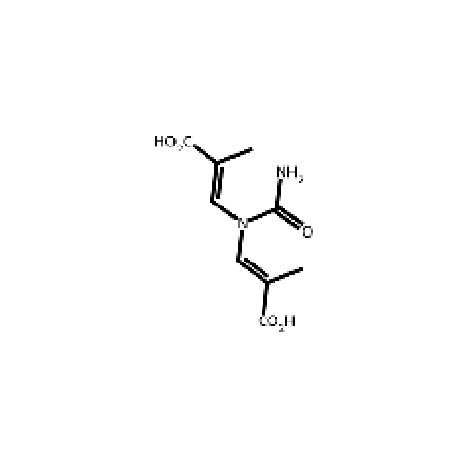 CC(=CN(C=C(C)C(=O)O)C(N)=O)C(=O)O